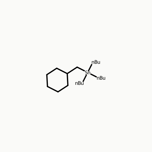 CCC[CH2][Sn]([CH2]CCC)([CH2]CCC)[CH2]C1CCCCC1